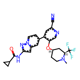 CN1CC[C@@H](Oc2cnc(C#N)cc2-c2ccn3nc(NC(=O)C4CC4)cc3c2)C[C@H]1C(F)(F)F